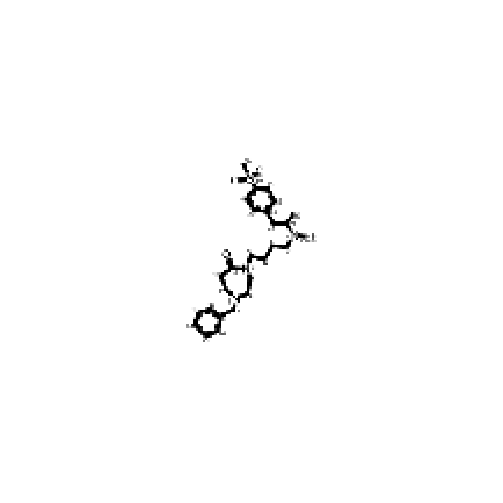 CCN(CCCCN1CCN(Cc2ccccc2)CCC1=O)C(C)Cc1ccc(S(C)(=O)=O)cc1